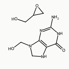 Nc1nc2c(c(=O)[nH]1)NCN2CO.OCC1CO1